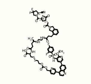 C=C(CCC(=O)NC(CSSCCOC(=O)OCc1ccc(-c2ccnc3ccc(-c4cnc(OC)c(NS(=O)(=O)c5ccc(F)cc5F)c4)cc23)cn1)C(=O)O)NCCNC(=O)CCc1cccc2c1CN(C(=O)C[C@@H]1C[C@@H](C(=O)N3CC(F)(F)C[C@H]3C#N)NC1=O)C2